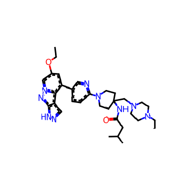 CCOc1cc(-c2ccc(N3CCC(CN4CCN(CC)CC4)(NC(=O)CC(C)C)CC3)nc2)c2c3cn[nH]c3nn2c1